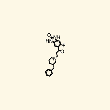 O=C(CCN1CCC[C@H](Cc2ccccc2)C1)c1cc2[nH]c(=O)[nH]c2cc1F